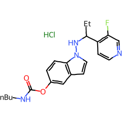 CCCCNC(=O)Oc1ccc2c(ccn2NC(CC)c2ccncc2F)c1.Cl